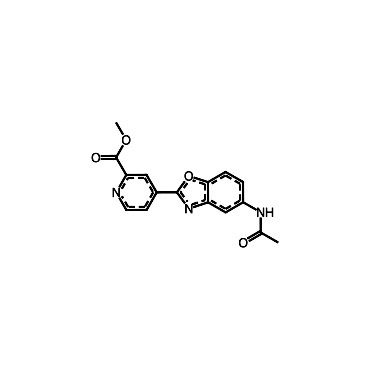 COC(=O)c1cc(-c2nc3cc(NC(C)=O)ccc3o2)ccn1